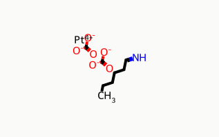 CCCCCC=N.O=C([O-])[O-].O=C([O-])[O-].[Pt+4]